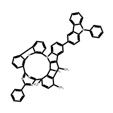 CC1C=CC2(C)C3=C1C(C)c1c(n(c4ccc(-c5ccc6c(c5)c5ccccc5n6-c5ccccc5)cc14)-c1cccc4c1oc1c(cccc14)-c1nc(-c4ccccc4)nc2n1)C3C